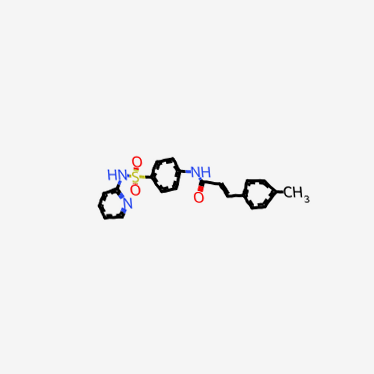 Cc1ccc(/C=C/C(=O)Nc2ccc(S(=O)(=O)Nc3ccccn3)cc2)cc1